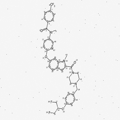 CN(C(=O)c1ccc(C(F)(F)F)cc1)c1ccc(Oc2ccc3cc(C(=O)N4CCN(Cc5ccc(OC(CF)CF)cc5)CC4)n(C)c3c2)nc1